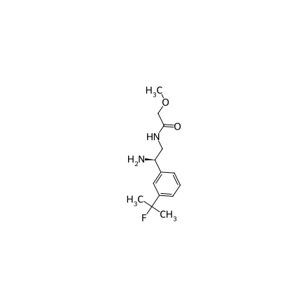 COCC(=O)NC[C@H](N)c1cccc(C(C)(C)F)c1